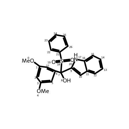 COc1cc(OC)cc(C(O)(c2cc3ccccc3[nH]2)S(=O)(=O)c2ccccc2)c1